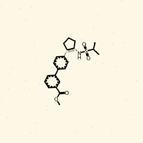 COC(=O)c1cccc(-c2ccc([C@@H]3CCC[C@@H]3NS(=O)(=O)C(C)C)cc2)c1